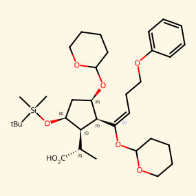 C[C@H](C(=O)O)[C@@H]1[C@H](/C(=C\CCOc2ccccc2)OC2CCCCO2)[C@H](OC2CCCCO2)C[C@@H]1O[Si](C)(C)C(C)(C)C